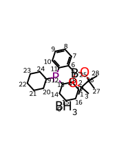 B.CC1(C)OB(c2ccccc2P(C2CCCCC2)C2CCCCC2)OC1(C)C